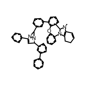 CN1C2=C(CCC=C2)N2c3ccccc3Oc3c(-c4cccc(C5N6C(c7ccccc7)=CC(c7cccc(-c8ccccc8)c7)[N@]56)c4)cccc3C12